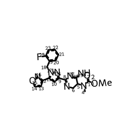 COC(=O)N(C)C1CN=C(c2cc(-c3ccon3)n(Cc3ccccc3F)n2)N=C1N